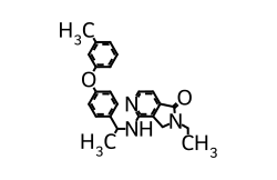 CCN1Cc2c(ccnc2NC(C)c2ccc(Oc3cccc(C)c3)cc2)C1=O